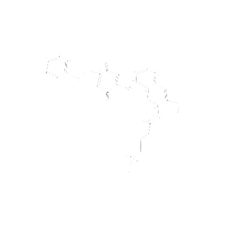 CCOc1cc2ncnc(NC3=CC(=O)C(OCc4ccccc4)=CC3=O)c2cc1NC(=O)C=CCN(C)C